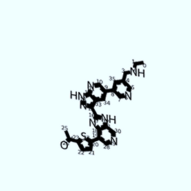 CCNCc1cncc(-c2cnc3[nH]nc(-c4nc5c(-c6ccc(C(C)=O)s6)cncc5[nH]4)c3c2)c1